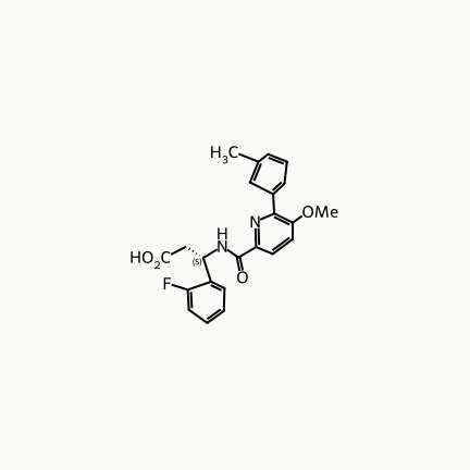 COc1ccc(C(=O)N[C@@H](CC(=O)O)c2ccccc2F)nc1-c1cccc(C)c1